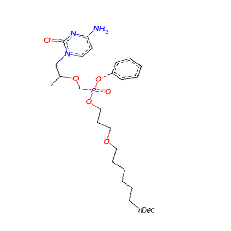 CCCCCCCCCCCCCCCCOCCCOP(=O)(COC(C)Cn1ccc(N)nc1=O)Oc1ccccc1